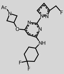 CC(=O)N1CC(Oc2cc(NC3CCC(F)(F)CC3)nc(-n3ccc(CF)n3)n2)C1